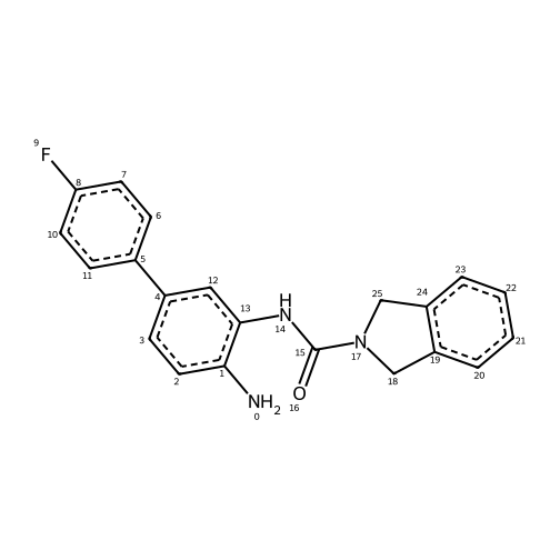 Nc1ccc(-c2ccc(F)cc2)cc1NC(=O)N1Cc2ccccc2C1